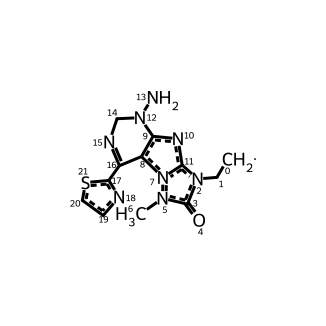 [CH2]Cn1c(=O)n(C)n2c3c(nc12)N(N)CN=C3c1nccs1